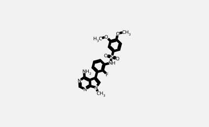 COc1ccc(S(=O)(=O)Nc2cccc(-c3cn(C)c4ncnc(N)c34)c2F)cc1OC